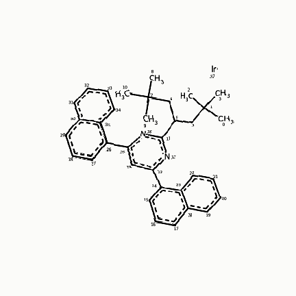 CC(C)(C)CC(CC(C)(C)C)c1nc(-c2cccc3ccccc23)cc(-c2cccc3ccccc23)n1.[Ir]